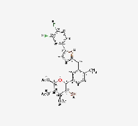 CC(=O)O[C@H]1OC(c2ccc(C)c(Cc3ccc(-c4ccc(F)c(F)c4)s3)c2)[C@H](S)[C@@H](OC(C)=O)[C@@H]1OC(C)=O